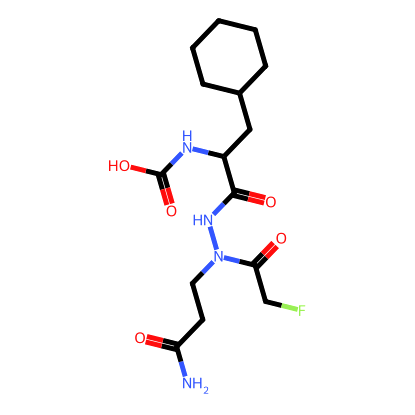 NC(=O)CCN(NC(=O)C(CC1CCCCC1)NC(=O)O)C(=O)CF